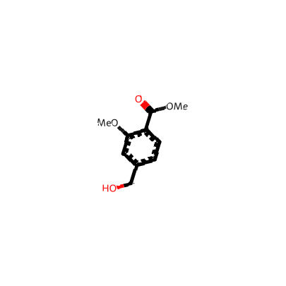 COC(=O)c1ccc([CH]O)cc1OC